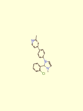 Cc1cc(-c2ccc(N3C=CN(C)C3c3ccccc3Cl)cc2)ccn1